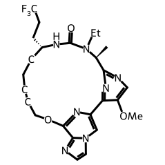 CCN1C(=O)N[C@@H](CCC(F)(F)F)CCCCCOc2nc(cn3ccnc23)-c2nc(ncc2OC)[C@@H]1C